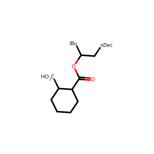 CCCCCCCCCCCC(OC(=O)C1CCCCC1C(=O)O)C(C)CC